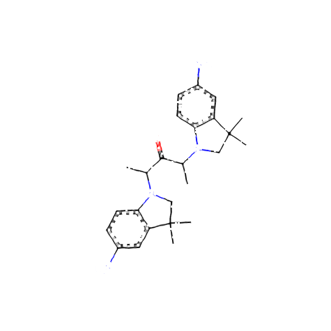 CC(C(=O)C(C)N1CC(C)(C)c2cc(N)ccc21)N1CC(C)(C)c2cc(N)ccc21